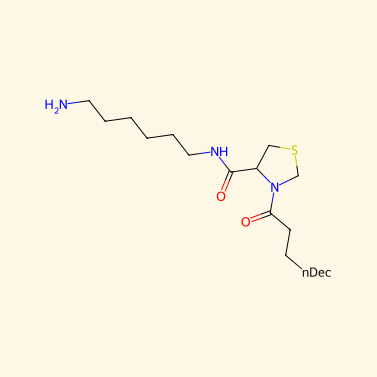 CCCCCCCCCCCCC(=O)N1CSCC1C(=O)NCCCCCCN